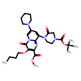 CCCCOc1c(C(=O)OC)nc2c(N3CCN(C(=O)OC(C)(C)C)CC3=O)cc(N3CCCCC3)cn2c1=O